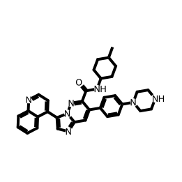 CC1CCC(NC(=O)c2nn3c(-c4ccnc5ccccc45)cnc3cc2-c2ccc(N3CCNCC3)cc2)CC1